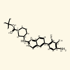 CC(C)(C)OC(=O)N1CCCC(Nc2ncc3cc(-c4ccc(N)c(F)c4F)ccc3n2)C1